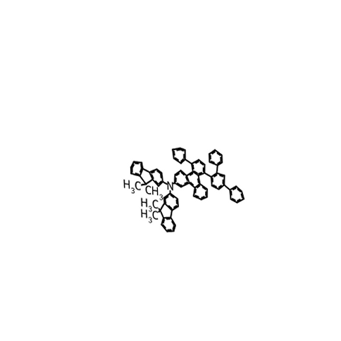 CC1(C)c2ccccc2-c2ccc(N(c3ccc4c(c3)C(C)(C)c3ccccc3-4)c3ccc4c(c3)c3ccccc3c3c(-c5ccc(-c6ccccc6)cc5-c5ccccc5)ccc(-c5ccccc5)c43)cc21